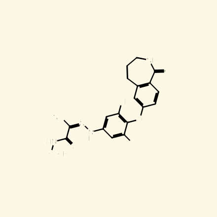 N#CC(=NNc1cc(Cl)c(Oc2ccc3c(c2)CCCNC3=O)c(Cl)c1)C(=O)NC(=O)O